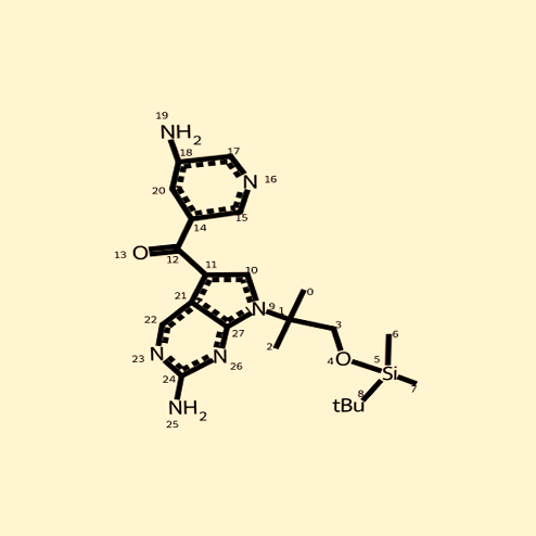 CC(C)(CO[Si](C)(C)C(C)(C)C)n1cc(C(=O)c2cncc(N)c2)c2cnc(N)nc21